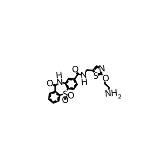 NCCOc1ncc(CNC(=O)c2ccc3c(c2)NC(=O)c2ccccc2S3(=O)=O)s1